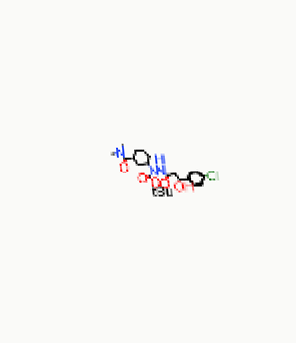 CN(C)C(=O)[C@H]1CCCC(N(NC(=O)CC(O)c2ccc(Cl)cc2)C(=O)OC(C)(C)C)C1